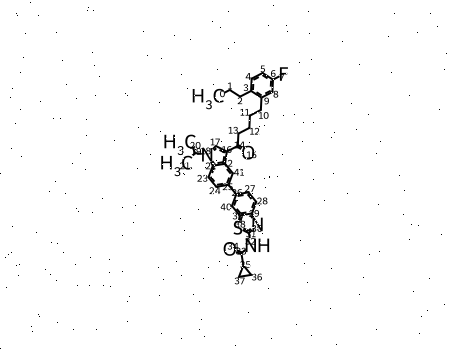 CCCc1ccc(F)cc1CCCCC(=O)c1cn(C(C)C)c2ccc(-c3ccc4nc(NC(=O)C5CC5)sc4c3)cc12